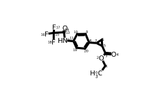 CCOC(=O)C1CC1c1ccc(NC(=O)C(F)(F)F)cc1